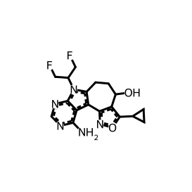 Nc1ncnc2c1c1c(n2C(CF)CF)CCC(O)c2c-1noc2C1CC1